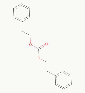 O=C(OCCc1ccccc1)OCCc1ccccc1